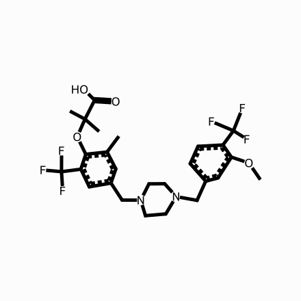 COc1cc(CN2CCN(Cc3cc(C)c(OC(C)(C)C(=O)O)c(C(F)(F)F)c3)CC2)ccc1C(F)(F)F